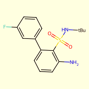 CC(C)(C)NS(=O)(=O)c1c(N)cccc1-c1cccc(F)c1